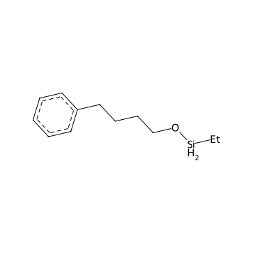 CC[SiH2]OCCCCc1ccccc1